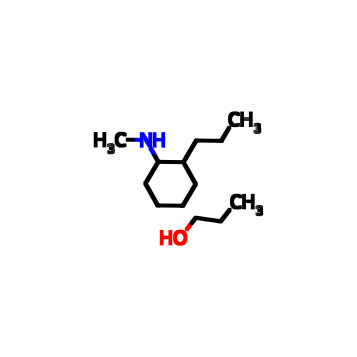 CCCC1CCCCC1NC.CCCO